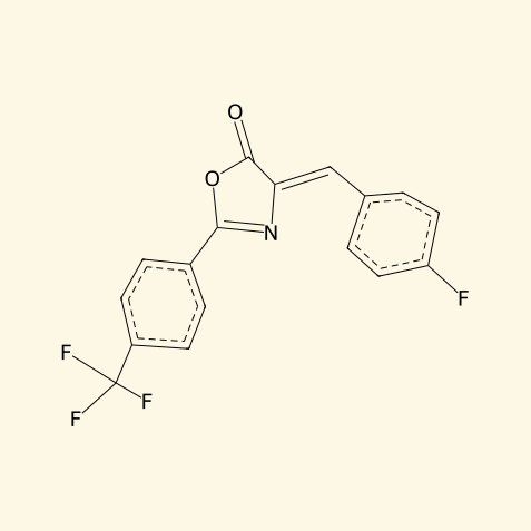 O=C1OC(c2ccc(C(F)(F)F)cc2)=N/C1=C\c1ccc(F)cc1